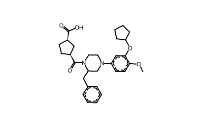 COc1ccc(N2CCN(C(=O)[C@H]3CC[C@@H](C(=O)O)C3)C(Cc3ccccc3)C2)cc1OC1CCCC1